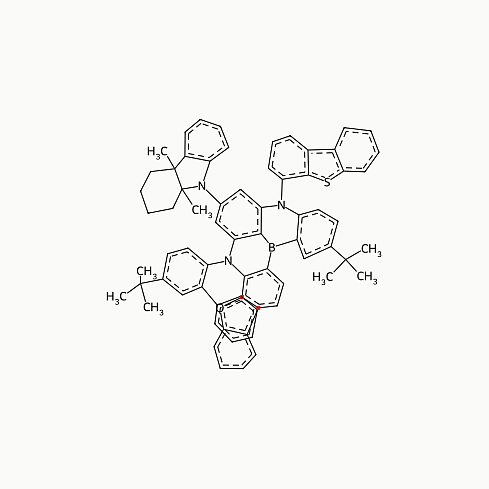 CC(C)(C)c1ccc2c(c1)B1c3ccc4c(oc5ccccc54)c3N(c3ccc(C(C)(C)C)cc3-c3ccccc3)c3cc(N4c5ccccc5C5(C)CCCCC45C)cc(c31)N2c1cccc2c1sc1ccccc12